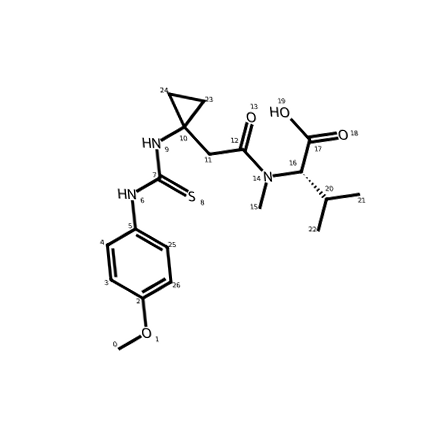 COc1ccc(NC(=S)NC2(CC(=O)N(C)[C@H](C(=O)O)C(C)C)CC2)cc1